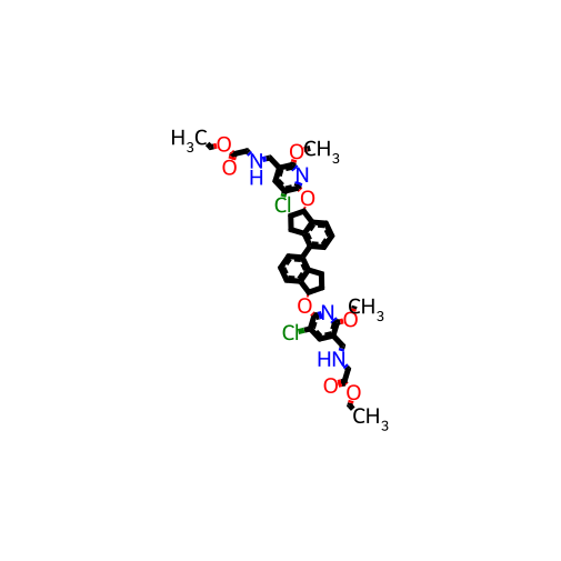 CCOC(=O)CNCc1cc(Cl)c(O[C@H]2CCc3c(-c4cccc5c4CC[C@@H]5Oc4nc(OC)c(CNCC(=O)OCC)cc4Cl)cccc32)nc1OC